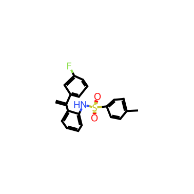 C=C(c1cccc(F)c1)c1ccccc1NS(=O)(=O)c1ccc(C)cc1